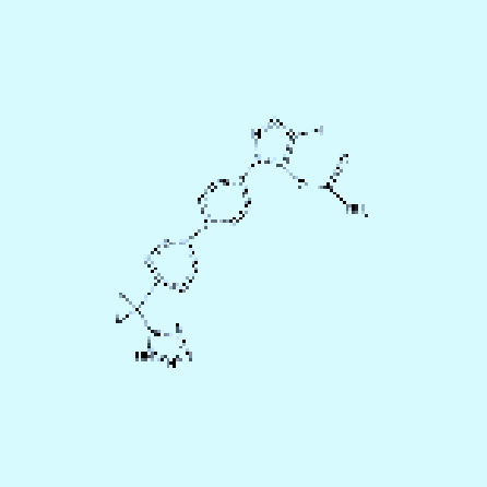 NC(=O)Oc1c(F)cnn1-c1ccc(-c2ccc(C3(c4nnn[nH]4)CC3)cc2)cc1